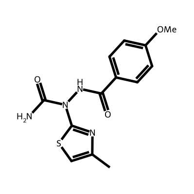 COc1ccc(C(=O)NN(C(N)=O)c2nc(C)cs2)cc1